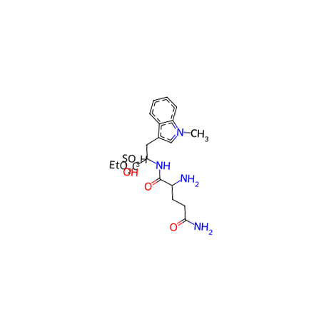 CCOC(=O)C(Cc1cn(C)c2ccccc12)NC(=O)C(N)CCC(N)=O.O=S(=O)(O)O